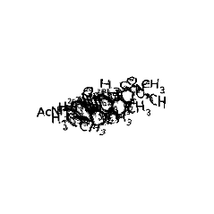 C#CON(C)C(=O)[C@@]1(C)CC[C@]2(C)CC[C@]3(C)C(=CC(=O)[C@@H]4[C@@]5(C)CC[C@H](NC(C)=O)C(C)(C)C5CC[C@]43C)[C@@H]2C1